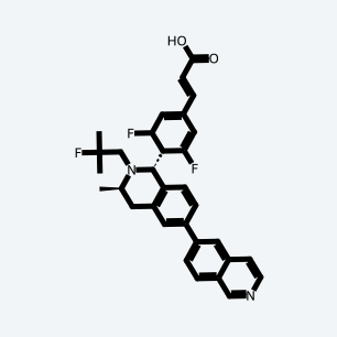 C[C@@H]1Cc2cc(-c3ccc4cnccc4c3)ccc2[C@@H](C2C(F)=CC(/C=C/C(=O)O)=CC2F)N1CC(C)(C)F